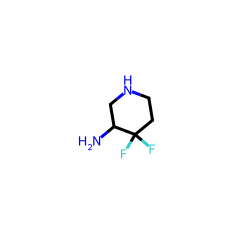 NC1CNCCC1(F)F